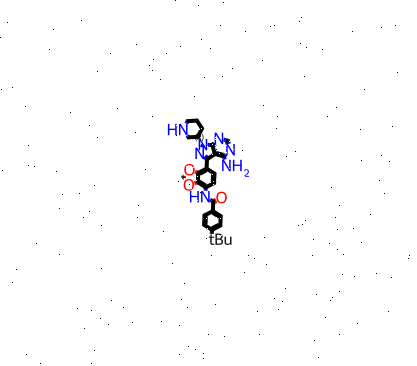 CC(C)(C)c1ccc(C(=O)Nc2ccc(-c3nn([C@@H]4CCCNC4)c4ncnc(N)c34)c3c2OCO3)cc1